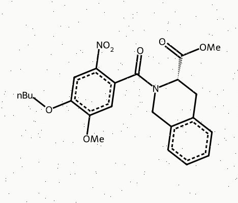 CCCCOc1cc([N+](=O)[O-])c(C(=O)N2Cc3ccccc3C[C@H]2C(=O)OC)cc1OC